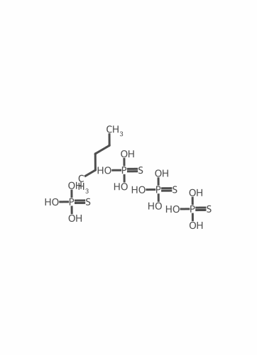 CCCCC.OP(O)(O)=S.OP(O)(O)=S.OP(O)(O)=S.OP(O)(O)=S